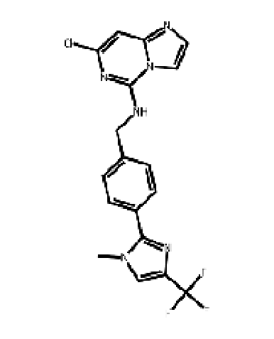 Cn1cc(C(F)(F)F)nc1-c1ccc(CNc2nc(Cl)cc3nccn23)cc1